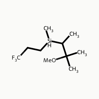 COC(C)(C)C(C)[SiH](C)CCC(F)(F)F